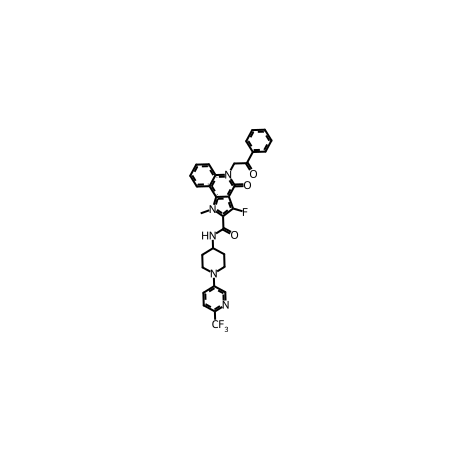 Cn1c(C(=O)NC2CCN(c3ccc(C(F)(F)F)nc3)CC2)c(F)c2c(=O)n(CC(=O)c3ccccc3)c3ccccc3c21